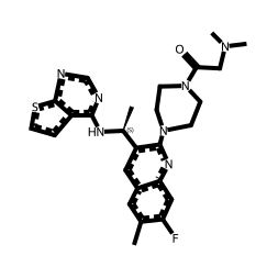 Cc1cc2cc([C@H](C)Nc3ncnc4sccc34)c(N3CCN(C(=O)CN(C)C)CC3)nc2cc1F